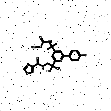 CC(C)(C)OC(=O)NC(C)(C)c1cc(-c2ccc(F)cc2)nc(C(O)(CNC(=O)c2cocn2)C(F)(F)F)c1